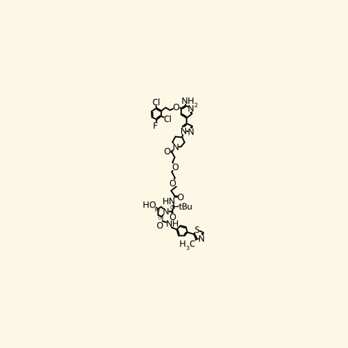 Cc1ncsc1-c1ccc(CNC(=O)[C@@H]2C[C@@H](O)CN2C(=O)[C@@H](NC(=O)CCOCCOCCC(=O)N2CCC(n3cc(-c4cnc(N)c(OCCc5c(Cl)ccc(F)c5Cl)c4)cn3)CC2)C(C)(C)C)cc1